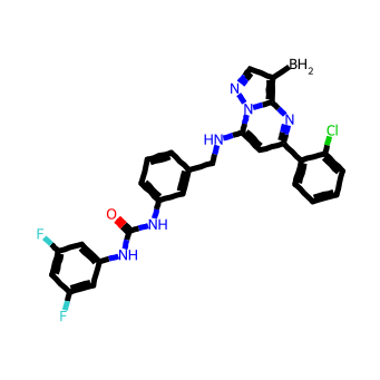 Bc1cnn2c(NCc3cccc(NC(=O)Nc4cc(F)cc(F)c4)c3)cc(-c3ccccc3Cl)nc12